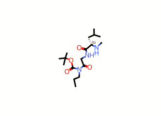 CCCN(C(=O)CNC(=O)[C@H](CC(C)C)NC)C(=O)OC(C)(C)C